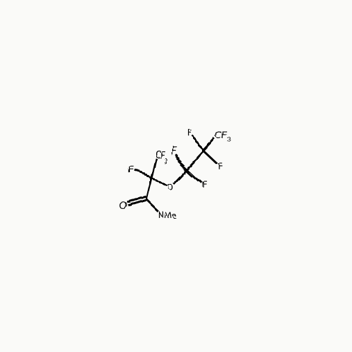 CNC(=O)C(F)(OC(F)(F)C(F)(F)C(F)(F)F)C(F)(F)F